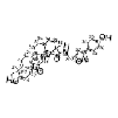 CC1(C)C2CC[C@]3(C)[C@H](C(=O)C=C4[C@H]5C[C@@](C)(C(=O)NCc6cc(-c7ccc(O)cc7)no6)CC[C@]5(C)CC[C@]43C)[C@@]2(C)CC[C@@H]1O